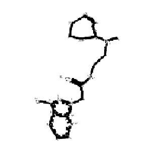 CN(CCNC(=O)Cn1nc(Cl)c2cccnc21)C1CCCCC1